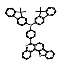 CC1(C)c2ccccc2-c2ccc(N(c3ccc(-c4nc5ccccc5c5c4ccc4c6ccccc6sc45)cc3)c3ccc4c(c3)C(C)(C)c3ccccc3-4)cc21